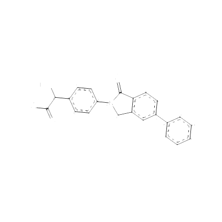 CC(C(=O)O)c1ccc(N2Cc3cc(-c4ccccc4)ccc3C2=O)cc1